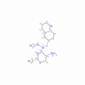 C=NN(Cc1ccc2ncccc2c1)c1nc(C)ccc1N